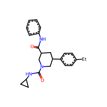 CCc1ccc(C2CC(C(=O)Nc3ccccc3)CN(C(=O)NC3CC3)C2)cc1